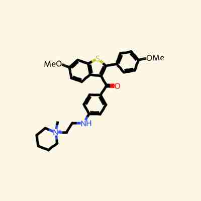 COc1ccc(-c2sc3cc(OC)ccc3c2C(=O)c2ccc(NCC[N+]3(C)CCCCC3)cc2)cc1